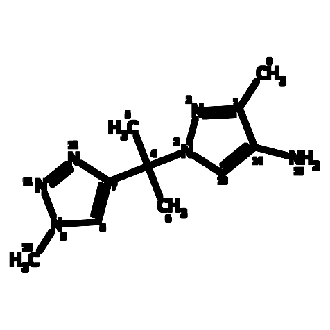 Cc1nn(C(C)(C)c2cn(C)nn2)cc1N